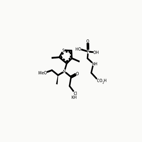 COC[C@H](C)N(C(=O)CCl)c1c(C)csc1C.O=C(O)CNCP(=O)(O)O.[KH]